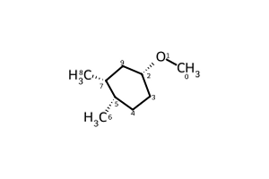 CO[C@@H]1CC[C@H](C)[C@H](C)C1